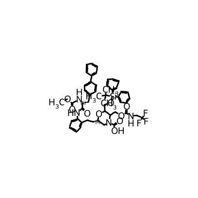 COC(=O)N[C@@H](Cc1ccc(-c2ccccc2)cc1)C(=O)Nc1ccccc1CC[C@@H]1CN(C(=O)O)C(COC(=O)NCC(F)(F)F)C(CO[Si](c2ccccc2)(c2ccccc2)C(C)(C)C)O1